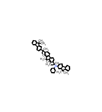 CCC(C)(c1ccc2c(c1)C(C)(C)c1ccccc1-2)c1ccc2c(c1)C(C)(C)c1cc(C(C)(CC)N(c3ccccc3)c3ccc4c(c3)C(C)(C)c3ccccc3-4)ccc1-2